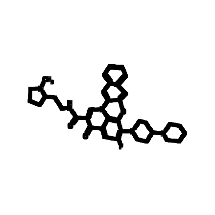 CN1CCCC1CCNC(=O)c1cn2c3c(c(N4CCC(N5CCCCC5)CC4)c(F)cc3c1=O)Oc1cc3ccccc3cc1-2